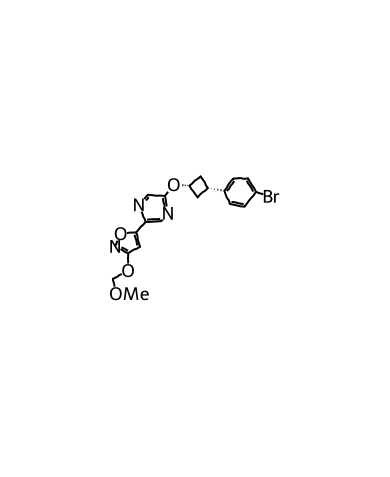 COCOc1cc(-c2cnc(O[C@H]3C[C@@H](c4ccc(Br)cc4)C3)cn2)on1